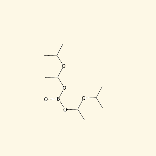 CC(C)OC(C)OB([O])OC(C)OC(C)C